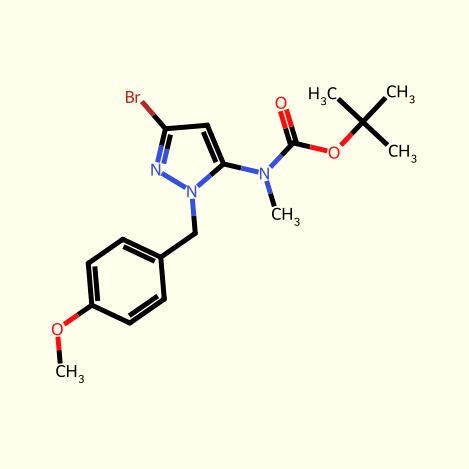 COc1ccc(Cn2nc(Br)cc2N(C)C(=O)OC(C)(C)C)cc1